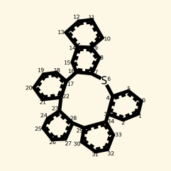 c1ccc2c(c1)Sc1cc3ccccc3cc1-c1ccccc1-c1ccccc1-c1ccccc1-2